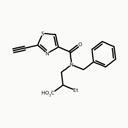 C#Cc1nc(C(=O)N(Cc2ccccc2)CC(CC)C(=O)O)cs1